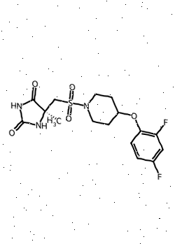 C[C@]1(CS(=O)(=O)N2CCC(Oc3ccc(F)cc3F)CC2)NC(=O)NC1=O